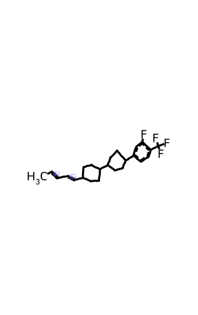 C/C=C/C=C/C1CCC(C2CCC(c3ccc(C(F)(F)F)c(F)c3)CC2)CC1